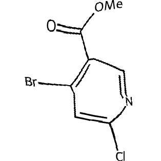 COC(=O)c1cnc(Cl)cc1Br